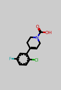 O=C(O)N1CC=C(c2cc(F)ccc2Cl)CC1